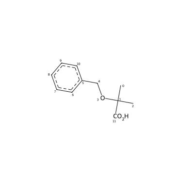 CC(C)(OCc1ccccc1)C(=O)O